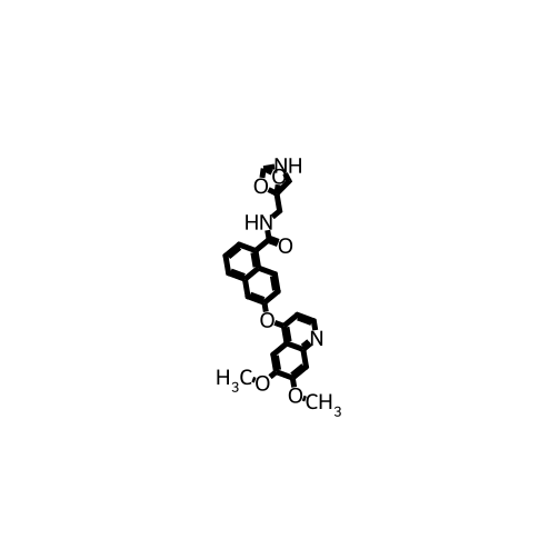 COc1cc2nccc(Oc3ccc4c(C(=O)NCC56CNC(O5)O6)cccc4c3)c2cc1OC